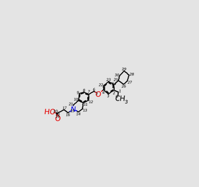 CCc1cc(OCc2ccc3c(c2)CCN(CCC(=O)O)C3)ccc1C1CCCCC1